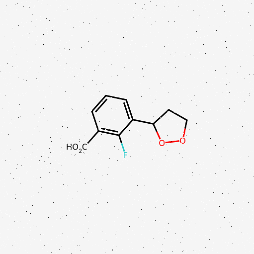 O=C(O)c1cccc(C2CCOO2)c1F